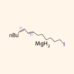 CCCC/C=C\C=C\CCCCCCI.[MgH2]